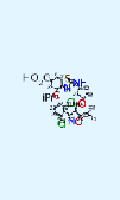 CC(C)Oc1cc(C(=O)O)cc2sc(N[C@@H]3CC[C@H](OCc4c(-c5c(Cl)cccc5Cl)noc4C4CC4)C3)nc12